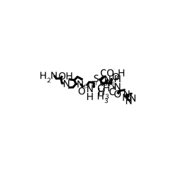 CC(NC(=O)Cn1cnnn1)[C@H]1C(=O)N2C(C(=O)O)=C(S[C@@H]3CN[C@H](C(=O)N4CCC5CN(CC(O)CN)CCC54)C3)[C@H](C)[C@H]12